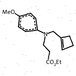 CCOC(=O)CCN(CC1=CCC1)c1ccc(OC)cc1